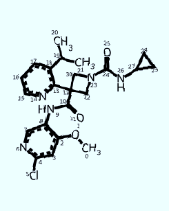 COc1cc(Cl)ncc1NC(=O)C1(c2ncccc2C(C)C)CN(C(=O)NC2CC2)C1